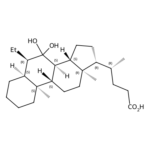 CC[C@@H]1[C@@H]2CCCC[C@]2(C)[C@H]2CC[C@]3(C)[C@@H]([C@H](C)CCC(=O)O)CC[C@H]3[C@@H]2C1(O)O